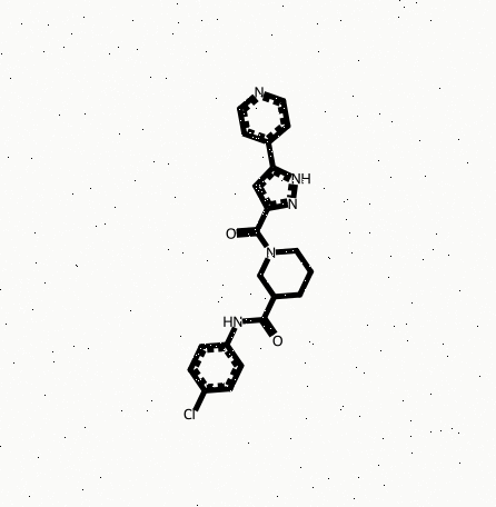 O=C(Nc1ccc(Cl)cc1)C1CCCN(C(=O)c2cc(-c3ccncc3)[nH]n2)C1